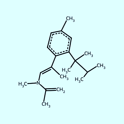 C=C(C)N(C)/C=C(\C)c1ccc(C)cc1C(C)(C)C(C)C